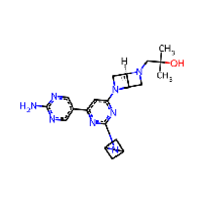 CC(C)(O)CN1CC2[C@H]1CN2c1cc(-c2cnc(N)nc2)nc(N2CC3CC2C3)n1